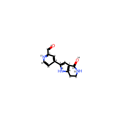 O=Cc1cc(-c2cc3c([nH]2)CCNC3=O)ccn1